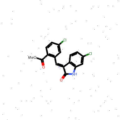 COC(=O)c1ccc(Cl)cc1/C=C1/C(=O)Nc2cc(Cl)ccc21